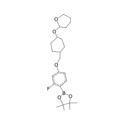 CC1(C)OB(c2ccc(OCC3CCC(OC4CCCCO4)CC3)cc2F)OC1(C)C